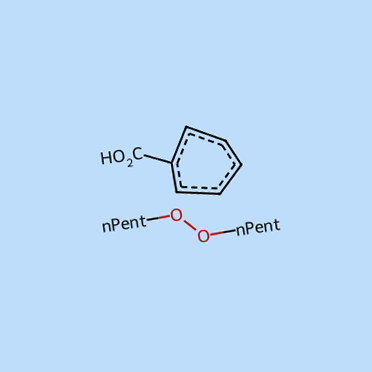 CCCCCOOCCCCC.O=C(O)c1ccccc1